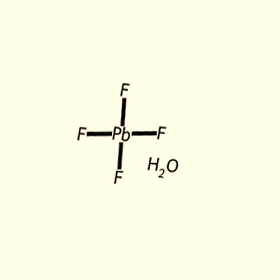 O.[F][Pb]([F])([F])[F]